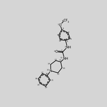 O=C(Nc1ccc(OC(F)(F)F)cc1)NC1CCN(c2ccccc2)CC1